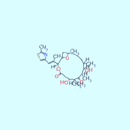 C/C(=C\c1csc(C)n1)[C@H]1OC(=O)C[C@H](O)C(C)(C)C(=O)[C@H](C)[C@@H](O)[C@@H](C)CCC[C@]2(C)CC1O2